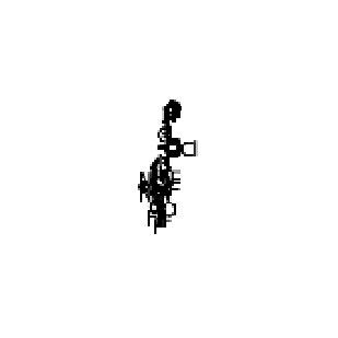 Cc1c(OCCN2CCCC2)cc(Cl)cc1N1CCN(c2ncnc3c2c(C(F)(F)F)nn3OC(=O)C(F)(F)F)CC1